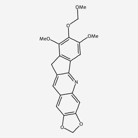 COCOc1c(OC)cc2c(c1OC)Cc1cc3cc4c(cc3nc1-2)OCO4